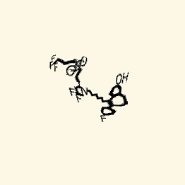 O=S(=O)(CCC[C@@H]1CC(F)(F)CN1CCCCCCC1=C(c2ccc(F)cc2)CCCc2cc(O)ccc21)CCCC(F)(F)F